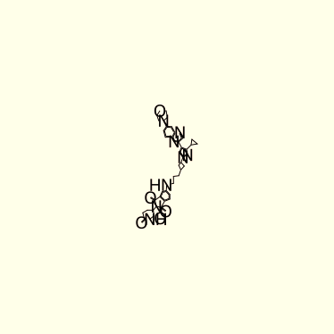 O=C1CCC(N2C(=O)c3ccc(NCCCC4CC(n5cc(-c6cnc7cc(N8CCOCC8)ccc7n6)c(C6CC6)n5)C4)cc3C2=O)C(=O)N1